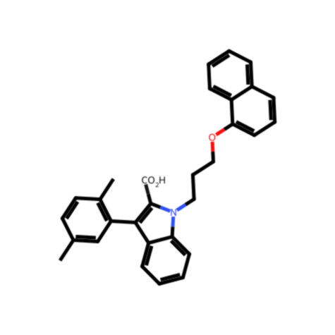 Cc1ccc(C)c(-c2c(C(=O)O)n(CCCOc3cccc4ccccc34)c3ccccc23)c1